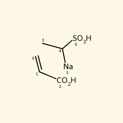 C=CC(=O)O.C[CH]([Na])S(=O)(=O)O